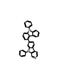 c1ccc(-n2c3cnccc3c3ccc(-c4cccc5c4c4ccccc4n5-c4ccccc4)cc32)cc1